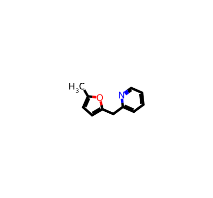 Cc1ccc(Cc2ccccn2)o1